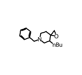 CCCCC1CN(Cc2ccccc2)CCC12CO2